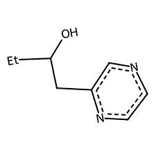 CCC(O)Cc1cnccn1